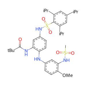 COc1ccc(Nc2ccc(NS(=O)(=O)c3c(C(C)C)cc(C(C)C)cc3C(C)C)cc2NC(=O)C(C)(C)C)cc1NS(C)(=O)=O